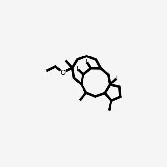 CCOC1(C)CCCC2CC3(I)CCC(C)C3CC(C)C(C1)C(I)C2I